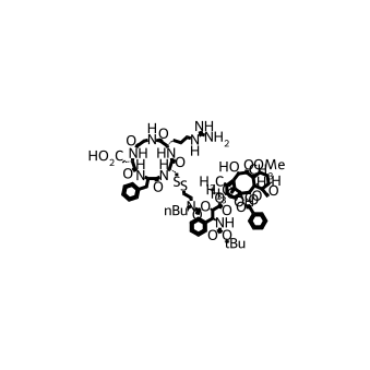 CCCCN(CCSSC[C@@H]1NC(=O)C(Cc2ccccc2)NC(=O)[C@H](CC(=O)O)NC(=O)CNC(=O)[C@H](CCCNC(=N)N)NC1=O)C(=O)O[C@@H](C(=O)O[C@H]1C[C@@]2(O)[C@@H](OC(=O)c3ccccc3)[C@@H]3[C@]4(OC(C)=O)CO[C@@H]4C[C@H](OC)[C@@]3(C)C(=O)[C@H](O)C(=C1C)C2(C)C)[C@@H](NC(=O)OC(C)(C)C)c1ccccc1